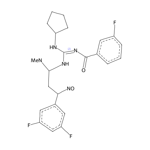 CNC(CC(N=O)c1cc(F)cc(F)c1)N/C(=N\C(=O)c1cccc(F)c1)NC1CCCC1